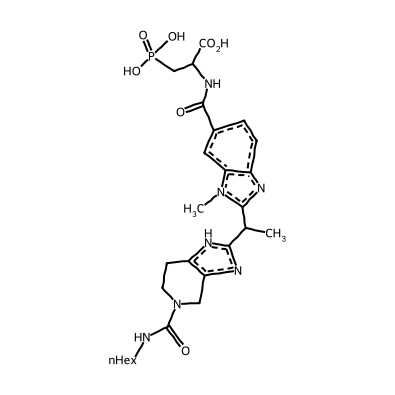 CCCCCCNC(=O)N1CCc2[nH]c(C(C)c3nc4ccc(C(=O)NC(CP(=O)(O)O)C(=O)O)cc4n3C)nc2C1